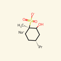 CC(C)[C@@H]1CC[C@@](C)(S(=O)(=O)[O-])C(O)C1.[Na+]